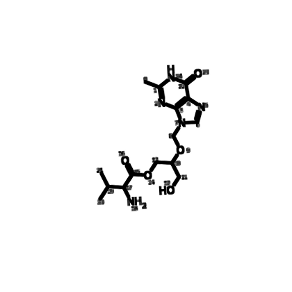 Cc1nc2c(ncn2COC(CO)COC(=O)C(N)C(C)C)c(=O)[nH]1